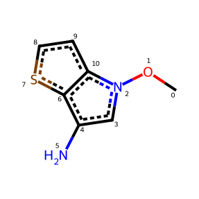 COn1cc(N)c2sccc21